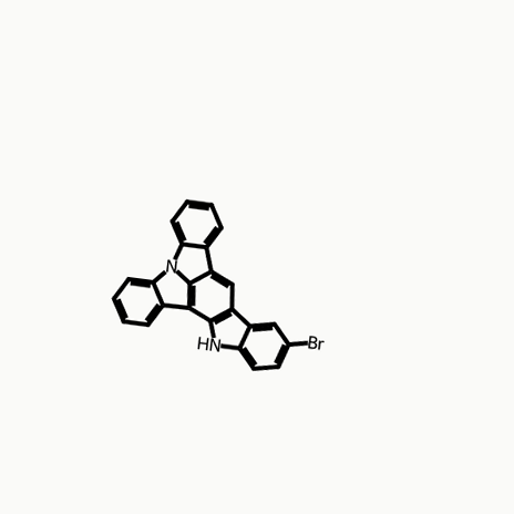 Brc1ccc2[nH]c3c(cc4c5ccccc5n5c6ccccc6c3c45)c2c1